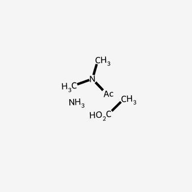 CC(=O)N(C)C.CC(=O)O.N